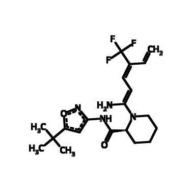 C=C/C(=C\C=C(/N)N1CCCC[C@H]1C(=O)Nc1cc(C(C)(C)C)on1)C(F)(F)F